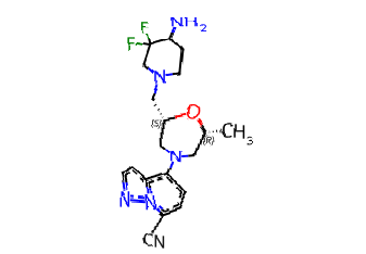 C[C@@H]1CN(c2ccc(C#N)n3nccc23)C[C@H](CN2CCC(N)C(F)(F)C2)O1